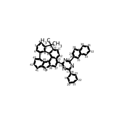 CC1(C)c2cccc3c2-c2c1ccc1c(-c4nc(-c5ccccc5)nc(-c5ccc6ccccc6c5)n4)cc4sc5cccc-3c5c4c21